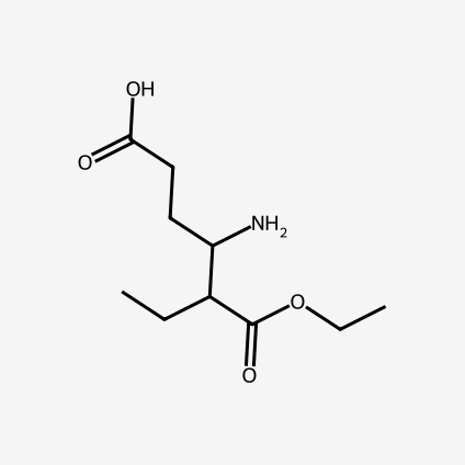 CCOC(=O)C(CC)C(N)CCC(=O)O